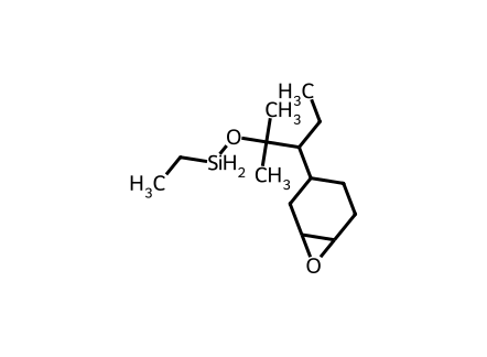 CC[SiH2]OC(C)(C)C(CC)C1CCC2OC2C1